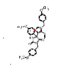 COc1ccc(CN2C(=O)NC3(c4ccc(OC)cc4)C2=NC=Nc2c3ncn2Cc2ccc(OC)cc2)cc1